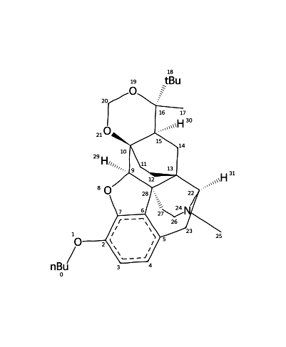 CCCCOc1ccc2c3c1O[C@H]1[C@@]45CC[C@@]6(C[C@@H]4[C@@](C)(C(C)(C)C)OCO5)[C@@H](C2)N(C)CC[C@]316